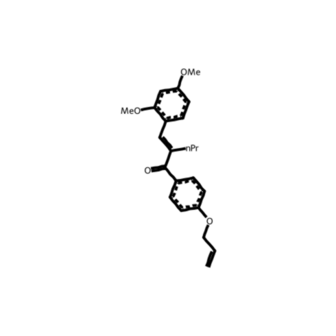 C=CCOc1ccc(C(=O)/C(=C/c2ccc(OC)cc2OC)CCC)cc1